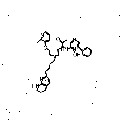 CC(=O)[C@H](CCN(CCCCc1ccc2c(n1)NCCC2)CCOc1cccnc1C)Nc1cncc(-c2ccccc2)[n+]1O